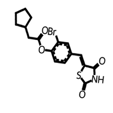 O=C(CC1CCCC1)Oc1ccc(/C=C2\SC(=O)NC2=O)cc1Br